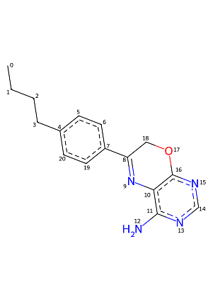 CCCCc1ccc(C2=Nc3c(N)ncnc3OC2)cc1